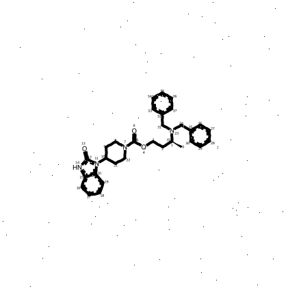 C[C@@H](CCOC(=O)N1CCC(n2c(=O)[nH]c3ccccc32)CC1)N(Cc1ccccc1)Cc1ccccc1